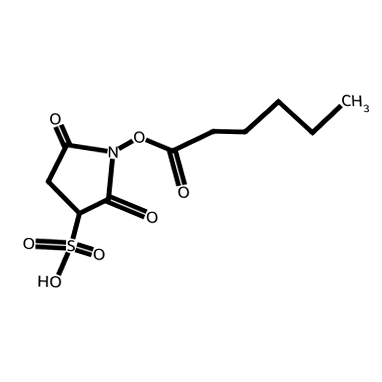 CCCCCC(=O)ON1C(=O)CC(S(=O)(=O)O)C1=O